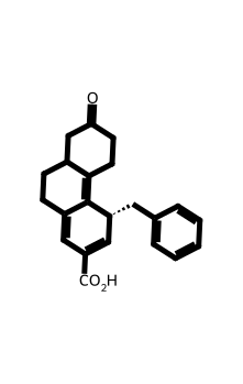 O=C1CCC2=C3C(=CC(C(=O)O)=C[C@H]3Cc3ccccc3)CCC2C1